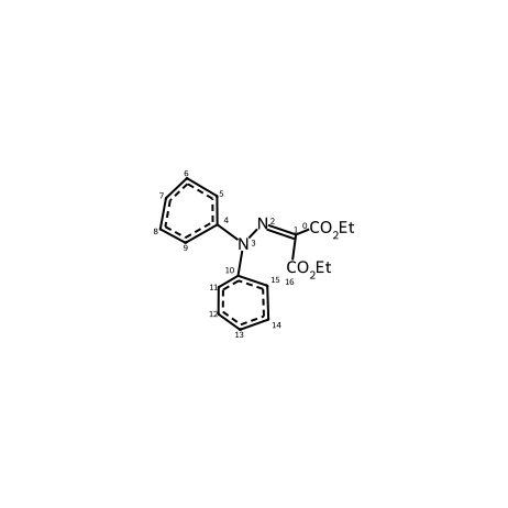 CCOC(=O)C(=NN(c1ccccc1)c1ccccc1)C(=O)OCC